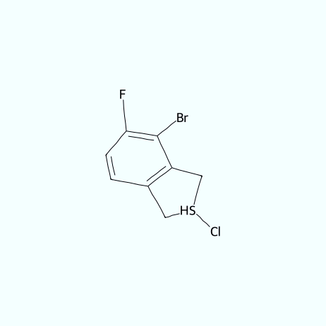 Fc1ccc2c(c1Br)C[SH](Cl)C2